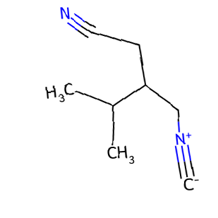 [C-]#[N+]CC(CC#N)C(C)C